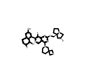 CCc1c(F)ccc2cc(O)cc(-c3ncc4c(N5CCCC6(CSC6)C5)nc(OC[C@@]56CCCN5C[C@H](F)C6)nc4c3F)c12